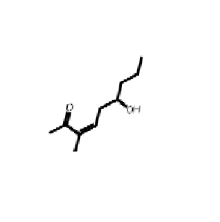 CCCC(O)CC=C(C)C(C)=O